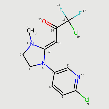 CN1CCN(c2ccc(Cl)nc2)C1=CC(=O)C(F)(F)Cl